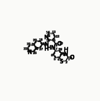 O=C1CSc2ccc(NC(=O)c3cccnc3Nc3ccc4ccncc4c3)cc2N1